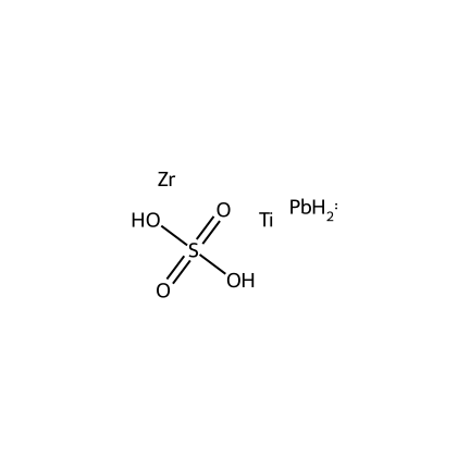 O=S(=O)(O)O.[PbH2].[Ti].[Zr]